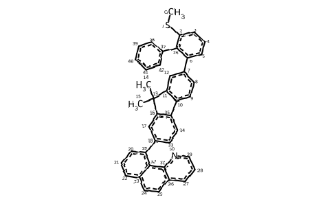 CSc1cccc(-c2ccc3c(c2)C(C)(C)c2cc(-c4cccc5ccc6cccnc6c45)ccc2-3)c1-c1ccccc1